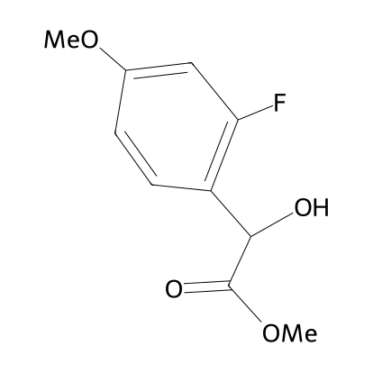 COC(=O)C(O)c1ccc(OC)cc1F